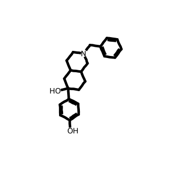 Oc1ccc(C2(O)CCC3CN(Cc4ccccc4)CCC3C2)cc1